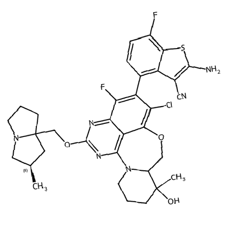 C[C@H]1CN2CCCC2(COc2nc3c4c(c(Cl)c(-c5ccc(F)c6sc(N)c(C#N)c56)c(F)c4n2)OCC2N3CCCC2(C)O)C1